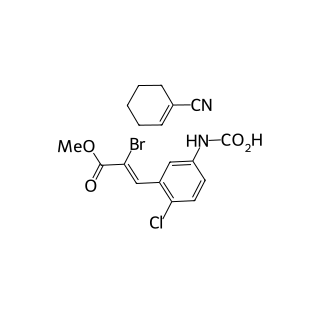 COC(=O)C(Br)=Cc1cc(NC(=O)O)ccc1Cl.N#CC1=CCCCC1